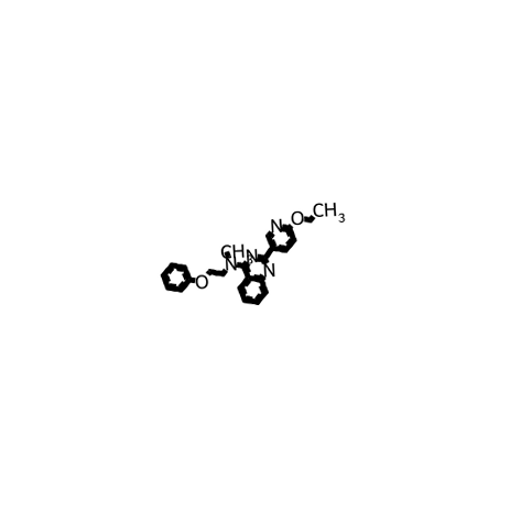 CCOc1ccc(-c2nc(N(C)CCOc3ccccc3)c3ccccc3n2)cn1